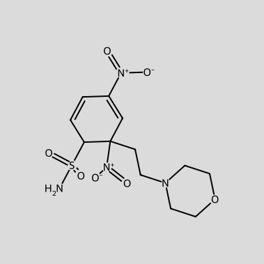 NS(=O)(=O)C1C=CC([N+](=O)[O-])=CC1(CCN1CCOCC1)[N+](=O)[O-]